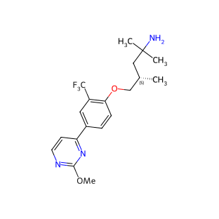 COc1nccc(-c2ccc(OC[C@@H](C)CC(C)(C)N)c(C(F)(F)F)c2)n1